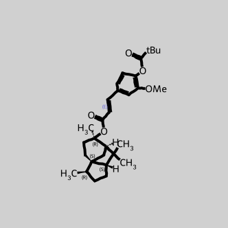 COc1cc(/C=C/C(=O)O[C@]2(C)CC[C@@]34C[C@@H]2C(C)(C)[C@@H]3CC[C@H]4C)ccc1OC(=O)C(C)(C)C